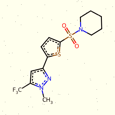 Cn1nc(-c2ccc(S(=O)(=O)N3CCCCC3)s2)cc1C(F)(F)F